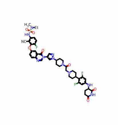 CCN(C)S(=O)(=O)Nc1ccc(F)c(Oc2ccc3ncn(-c4cnn(C5CCN(C(=O)CN6CCC(c7c(F)cc(NC8CCC(=O)NC8=O)cc7F)CC6)CC5)c4)c(=O)c3c2)c1C#N